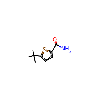 CC(C)(C)c1ccc(C(N)=O)s1